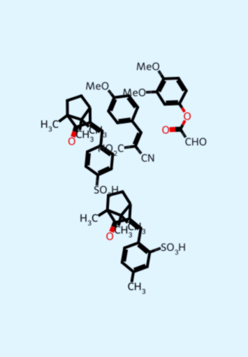 CC12CCC(C(=Cc3ccc(S(=O)(=O)O)cc3)C1=O)C2(C)C.COc1ccc(C=C(C#N)C(=O)O)cc1.COc1ccc(OC(=O)C=O)cc1OC.Cc1ccc(C=C2C(=O)C3(C)CCC2C3(C)C)c(S(=O)(=O)O)c1